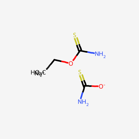 NC(=S)OCC(=O)O.NC([O-])=S.[Na+]